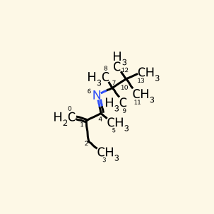 C=C(CC)C(C)=NC(C)(C)C(C)(C)C